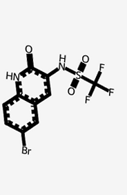 O=c1[nH]c2ccc(Br)cc2cc1NS(=O)(=O)C(F)(F)F